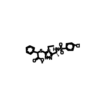 CCn1c(SC(C(=O)OC)c2ccccc2)nnc1[C@@H](C)NS(=O)(=O)c1ccc(Cl)cc1